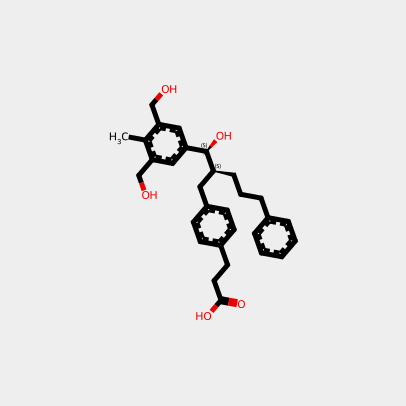 Cc1c(CO)cc([C@@H](O)[C@@H](CCCc2ccccc2)Cc2ccc(CCC(=O)O)cc2)cc1CO